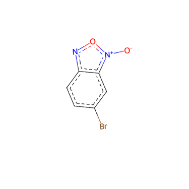 [O-][n+]1onc2ccc(Br)cc21